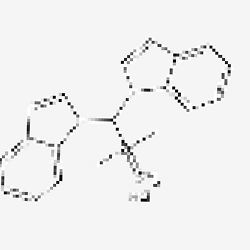 Cl.[CH3][Zr]([CH3])(=[SiH2])[CH](C1C=Cc2ccccc21)C1C=Cc2ccccc21